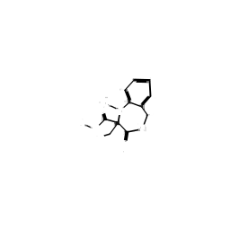 CC(C)(C)OC(=O)C1(CC(=O)O)C(=O)NCc2ccccc2N1N